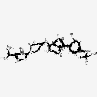 CC(C)c1noc(N2CCC(Oc3ncnc4c(-c5ccc(SC(F)(F)F)cc5F)csc34)CC2)n1